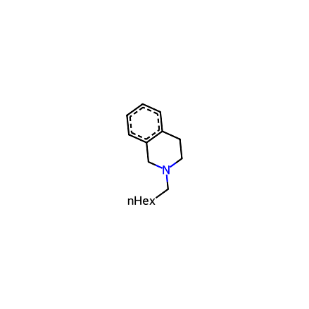 CCCCCCCN1CCc2ccccc2C1